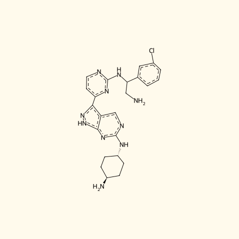 NCC(Nc1nccc(-c2n[nH]c3nc(N[C@H]4CC[C@H](N)CC4)ncc23)n1)c1cccc(Cl)c1